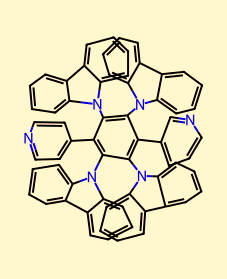 c1cncc(-c2c(-n3c4ccccc4c4ccccc43)c(-n3c4ccccc4c4ccccc43)c(-c3ccncc3)c(-n3c4ccccc4c4ccccc43)c2-n2c3ccccc3c3ccccc32)c1